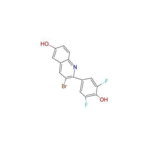 Oc1ccc2nc(-c3cc(F)c(O)c(F)c3)c(Br)cc2c1